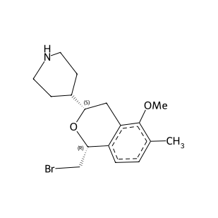 COc1c(C)ccc2c1C[C@@H](C1CCNCC1)O[C@H]2CBr